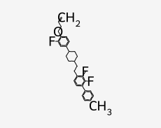 C=CCOc1ccc(C2CCC(CCc3ccc(-c4ccc(C)cc4)c(F)c3F)CC2)cc1F